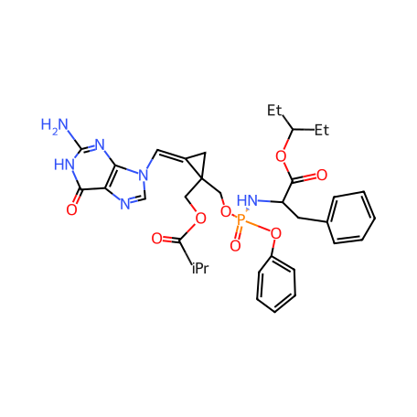 CCC(CC)OC(=O)C(Cc1ccccc1)N[P@](=O)(OCC1(COC(=O)C(C)C)C/C1=C/n1cnc2c(=O)[nH]c(N)nc21)Oc1ccccc1